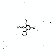 C=CCc1cc([N+](=O)[O-])cc(-c2ccccc2)c1OC